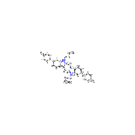 CCCCCCCCCCCCn1c2cc(-c3ccc(C)cc3)ccc2c2cc3c(cc21)c1ccc(-c2ccc(C)cc2)cc1n3CCCCCCCCCCCC